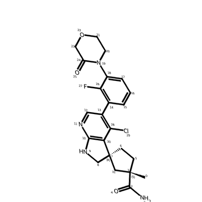 C[C@]1(C(N)=O)CC[C@@]2(CNc3ncc(-c4cccc(N5CCOCC5=O)c4F)c(Cl)c32)C1